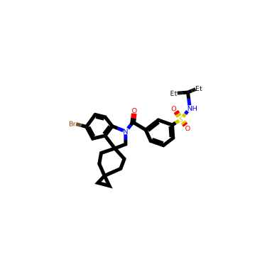 CCC(CC)NS(=O)(=O)c1cccc(C(=O)N2CC3(CCC4(CC4)CC3)c3cc(Br)ccc32)c1